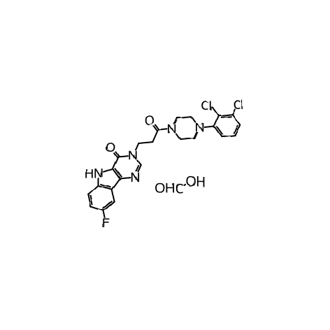 O=C(CCn1cnc2c([nH]c3ccc(F)cc32)c1=O)N1CCN(c2cccc(Cl)c2Cl)CC1.O=CO